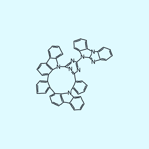 c1ccc2c(c1)nc1n(-c3nc4nc(n3)n3c5ccccc5c5cccc(c6ccccc6c6cccc7c8ccccc8n(c8ccccc48)c67)c53)c3ccccc3n21